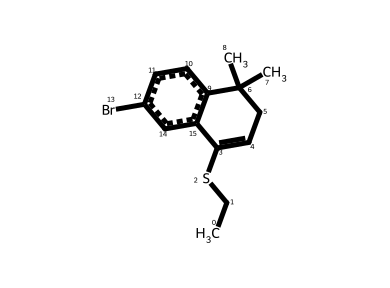 CCSC1=CCC(C)(C)c2ccc(Br)cc21